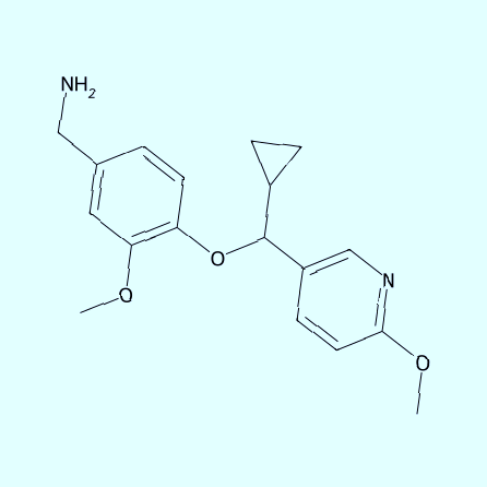 COc1ccc(C(Oc2ccc(CN)cc2OC)C2CC2)cn1